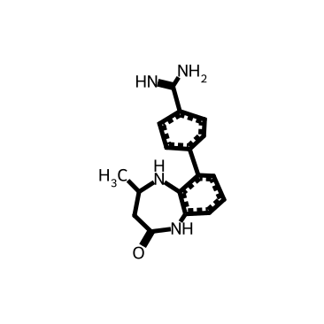 CC1CC(=O)Nc2cccc(-c3ccc(C(=N)N)cc3)c2N1